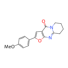 COc1ccc(-c2cc3c(=O)n4c(nc3o2)CCCC4)cc1